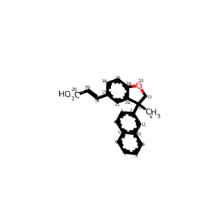 CC1(c2ccc3ccccc3c2)COc2ccc(C=CC(=O)O)cc21